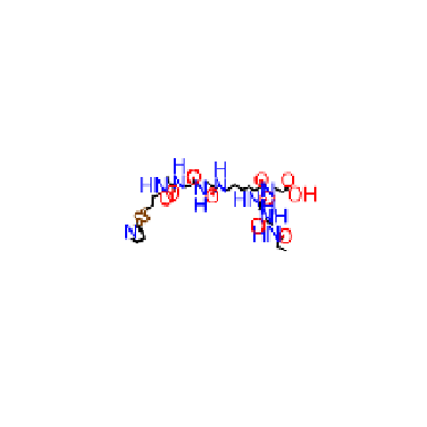 CCC(=O)NCC(=O)NCC(=O)NC(CCCCNC(=O)CNC(=O)CNC(=O)C(C)NC(=O)CCCSSc1ccccn1)C(=O)NCCC(=O)O